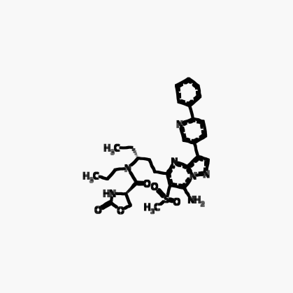 CCCN(C(=O)[C@H]1COC(=O)N1)[C@H](CC)CCc1nc2c(-c3ccc(-c4ccccc4)nc3)cnn2c(N)c1S(C)(=O)=O